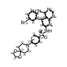 Nc1ncnc2nc(NS(=O)(=O)c3ccc(N4CCC5(CC4)OCCO5)cc3)cc(-c3cccc(Br)c3)c12